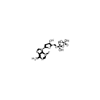 NC1=C2N=CN([C@H]3C[C@H](O)[C@@H](COP(=O)(O)OP(=O)(O)O)O3)C2N(F)C=N1